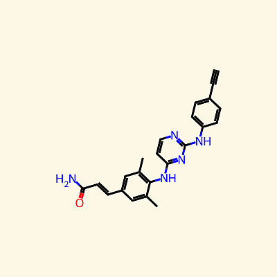 C#Cc1ccc(Nc2nccc(Nc3c(C)cc(C=CC(N)=O)cc3C)n2)cc1